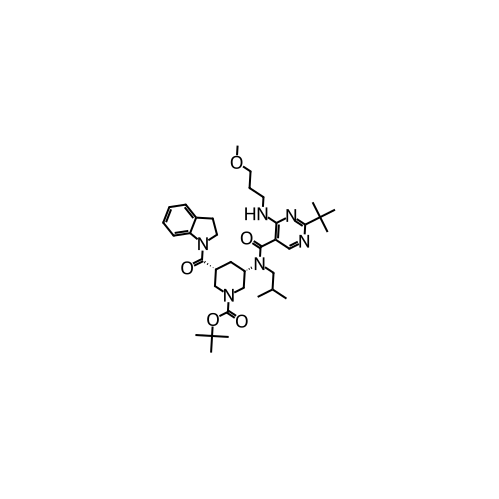 COCCCNc1nc(C(C)(C)C)ncc1C(=O)N(CC(C)C)[C@H]1C[C@@H](C(=O)N2CCc3ccccc32)CN(C(=O)OC(C)(C)C)C1